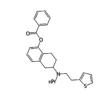 CCCN(CCc1cccs1)C1CCc2c(cccc2OC(=O)c2ccccc2)C1